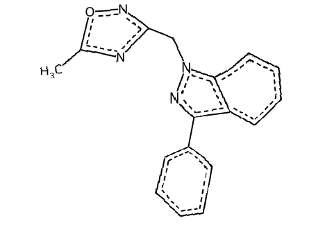 Cc1nc(Cn2nc(-c3ccccc3)c3ccccc32)no1